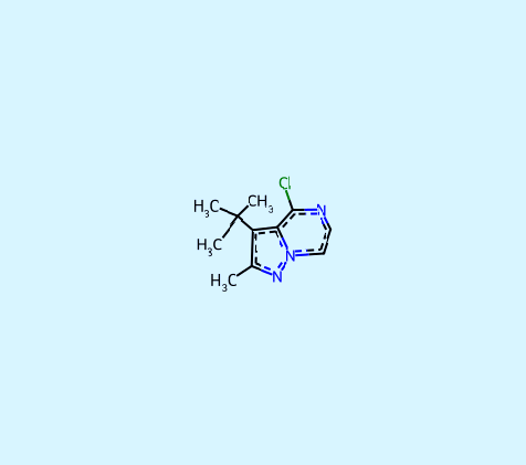 Cc1nn2ccnc(Cl)c2c1C(C)(C)C